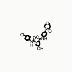 O=C(Nc1ccc(N2CCOCCC2=O)cc1)[C@H]1C[C@@H](O)CN1C(=O)Nc1ccc(Cl)cc1